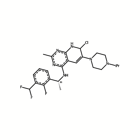 Cc1nc2c(c(N[C@H](C)c3cccc(C(F)F)c3F)n1)C=C(N1CCN(C(C)C)CC1)C(Cl)N2